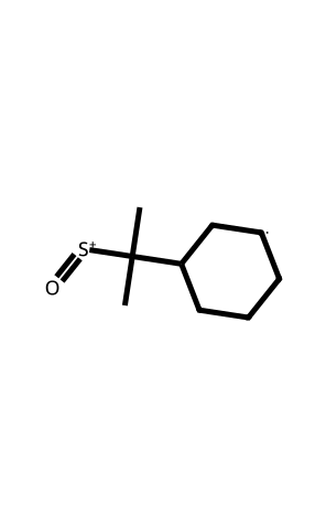 CC(C)([S+]=O)C1C[CH]CCC1